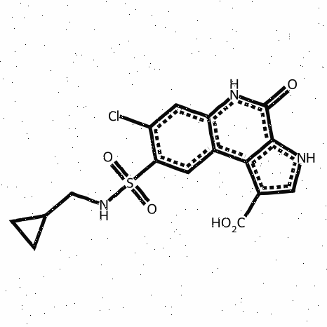 O=C(O)c1c[nH]c2c(=O)[nH]c3cc(Cl)c(S(=O)(=O)NCC4CC4)cc3c12